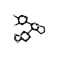 Fc1ccc(-c2nn3c(c2-c2ccc4ncnn4c2)CCC3)cc1F